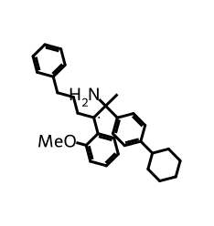 COc1ccccc1[C](CCCc1ccccc1)C(C)(N)c1ccc(C2CCCCC2)cc1